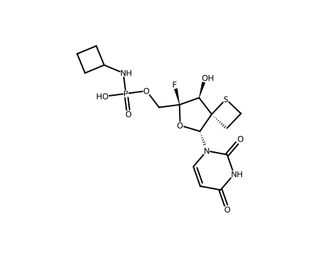 O=c1ccn([C@@H]2O[C@](F)(COP(=O)(O)NC3CCC3)[C@@H](O)[C@]23CCS3)c(=O)[nH]1